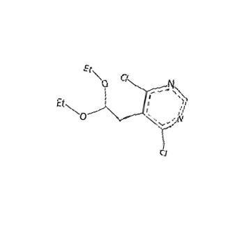 CCOC(Cc1c(Cl)ncnc1Cl)OCC